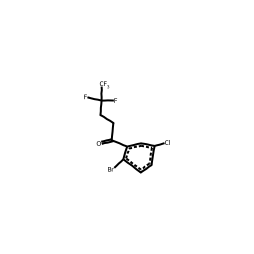 O=C(CCC(F)(F)C(F)(F)F)c1cc(Cl)ccc1Br